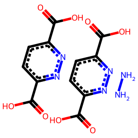 NN.O=C(O)c1ccc(C(=O)O)nn1.O=C(O)c1ccc(C(=O)O)nn1